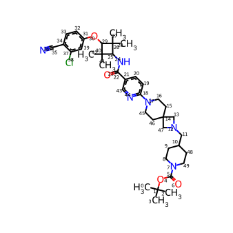 CC(C)(C)OC(=O)N1CCC(CN2CC3(CCN(c4ccc(C(=O)NC5C(C)(C)C(Oc6ccc(C#N)c(Cl)c6)C5(C)C)cn4)CC3)C2)CC1